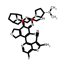 CN(C)[C@H]1CCN(c2nc(N3C4CCC3CN(CCCO)C4)c3c4c(c(-c5ncc(F)c6sc(N)c(C#N)c56)c(F)c3n2)COC4)C1